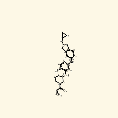 C=CC(=O)N1CCC[C@@H](Nc2nc(Nc3ccc4c(c3)CN(CC3CC3)C4)ncc2F)C1